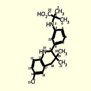 CC(C)(Nc1cccc(C2Nc3ccc(Cl)cc3CC2(C)C)c1)C(=O)O